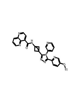 CCOc1ccc(-c2nnc(C34CC(NC(=O)c5ccnc6cccnc56)(C3)C4)n2-c2cccnc2)nc1